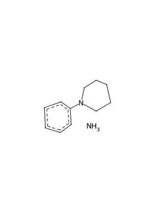 N.c1ccc(N2CCCCC2)cc1